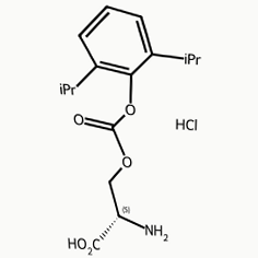 CC(C)c1cccc(C(C)C)c1OC(=O)OC[C@H](N)C(=O)O.Cl